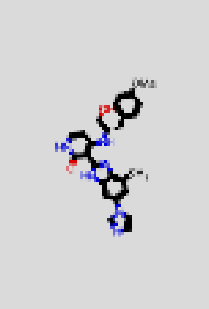 COc1ccc(C[C@@H](CO)Nc2cc[nH]c(=O)c2-c2nc3c(C)cc(-n4ccnc4)cc3[nH]2)cc1